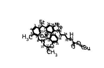 CCC(c1ccc(C)c(CN2C[C@@H](C)Oc3ccccc3S2(=O)=O)c1)c1ccc2c(c1)nnn2CCCNC(=O)OC(C)(C)C